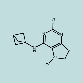 [O-][S+]1CCc2nc(Cl)nc(NC34CC(C3)C4)c21